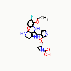 CCOc1c(F)cccc1Nc1c(-c2ccncc2OC[C@H]2CCN2C(=O)O)[nH]c2c1C(=O)NCC2